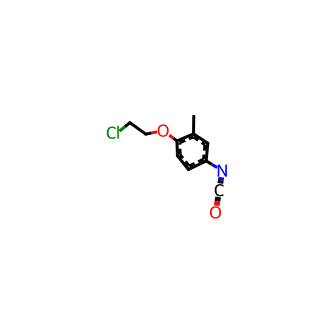 Cc1cc(N=C=O)ccc1OCCCl